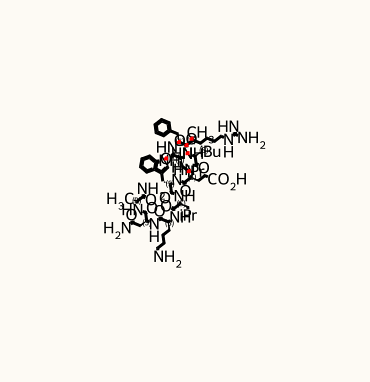 CC[C@H](C)C(NC(=O)[C@H](Cc1ccccc1)NC(=O)[C@H](CC(C)C)NC(=O)[C@@H](C)CCCCNC(=N)N)C(=O)N[C@@H](CCC(=O)O)C(=O)N[C@@H](Cc1c[nH]c2ccccc12)C(=O)N[C@@H](CC(C)C)C(=O)N[C@@H](CCCCN)C(=O)N[C@@H](CC(N)=O)C(=O)N[C@H](C)C(N)=O